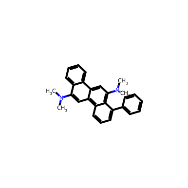 CN(C)c1cc2c3cccc(-c4ccccc4)c3c(N(C)C)cc2c2ccccc12